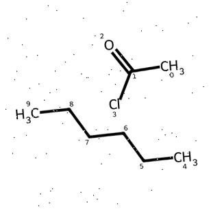 CC(=O)Cl.CCCCCC